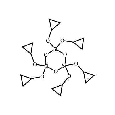 C1CC1O[Si]1(OC2CC2)O[Si](OC2CC2)(OC2CC2)O[Si](OC2CC2)(OC2CC2)O1